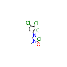 CN(C=Nc1ccc(Cl)c(Cl)c1Cl)C(=O)Cl